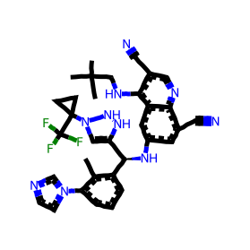 Cc1c([C@H](Nc2cc(C#N)c3ncc(C#N)c(NCC(C)(C)C)c3c2)C2=CN(C3(C(F)(F)F)CC3)NN2)cccc1-n1ccnc1